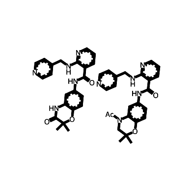 CC(=O)N1CC(C)(C)Oc2ccc(NC(=O)c3cccnc3NCc3ccncc3)cc21.CC1(C)Oc2ccc(NC(=O)c3cccnc3NCc3ccncc3)cc2NC1=O